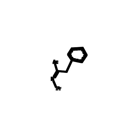 CC(=O)/C(Cc1ccccc1)=N/C(C)C